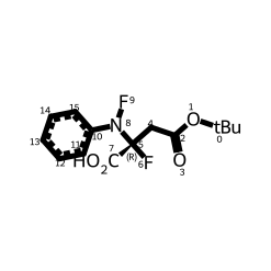 CC(C)(C)OC(=O)C[C@@](F)(C(=O)O)N(F)c1ccccc1